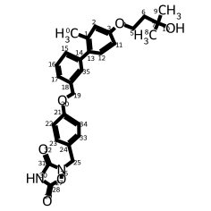 Cc1cc(OCCC(C)(C)O)ccc1-c1cccc(COc2ccc(Cn3oc(=O)[nH]c3=O)cc2)c1